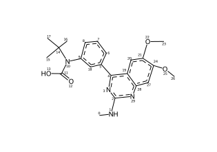 CNc1nc(-c2cccc(N(C(=O)O)C(C)(C)C)c2)c2cc(OC)c(OC)cc2n1